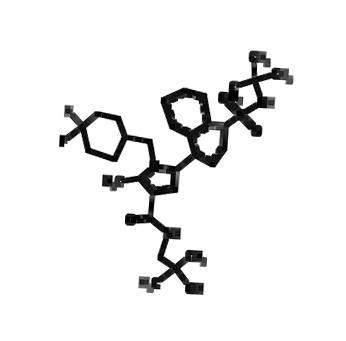 Cc1c(C(=O)NCC(C)(C)O)cc(-c2ccc(S(=O)(=O)NC(C)(C)C)c3ccccc23)n1CC1CCC(F)(F)CC1